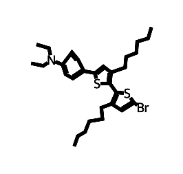 CCCCCCc1cc(Br)sc1-c1sc(-c2ccc(N(CC)CC)cc2)cc1CCCCCC